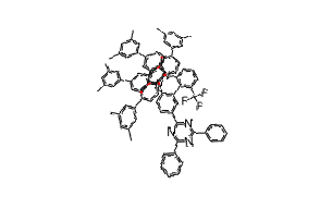 Cc1cc(C)cc(-c2ccc3c(c2)c2cc(-c4cc(C)cc(C)c4)ccc2n3-c2ccc(-c3nc(-c4ccccc4)nc(-c4ccccc4)n3)cc2-c2c(-n3c4ccc(-c5cc(C)cc(C)c5)cc4c4cc(-c5cc(C)cc(C)c5)ccc43)cccc2C(F)(F)F)c1